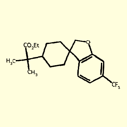 CCOC(=O)C(C)(C)C1CCC2(CC1)COc1cc(C(F)(F)F)ccc12